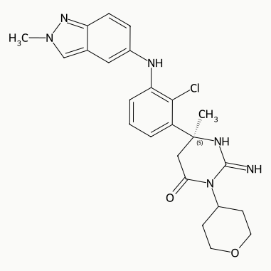 Cn1cc2cc(Nc3cccc([C@]4(C)CC(=O)N(C5CCOCC5)C(=N)N4)c3Cl)ccc2n1